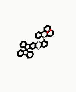 C1=C2C(=CCC1)C1(c3ccccc32)c2ccccc2-c2cc3c(cc21)Oc1cccc(N(c2ccccc2)c2ccccc2-c2ccccc2)c1O3